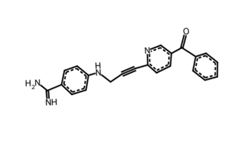 N=C(N)c1ccc(NCC#Cc2ccc(C(=O)c3ccccc3)cn2)cc1